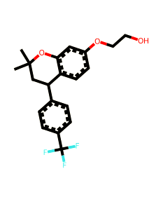 CC1(C)CC(c2ccc(C(F)(F)F)cc2)c2ccc(OCCO)cc2O1